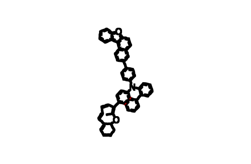 C\C1=C(c2ccc(N(c3ccc(-c4ccc5c(ccc6oc7ccccc7c65)c4)cc3)c3ccccc3-c3ccccc3)cc2)/C=C\C=C\C2=CC=CCC2O1